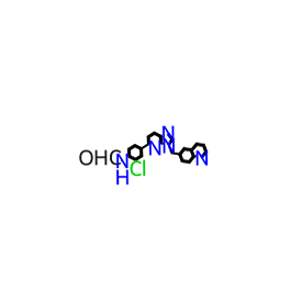 O=CNc1ccc(-c2ccc3ncn(Cc4ccc5ncccc5c4)c3n2)cc1Cl